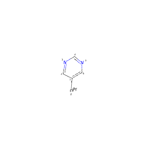 CCCc1[c]ncnc1